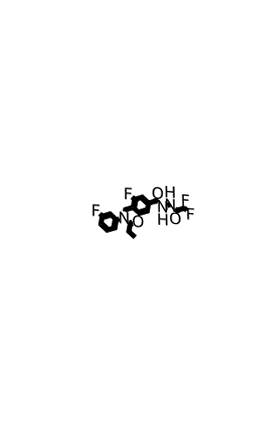 CCC(=O)N(Cc1ccc(C(=O)NNC(=O)C(F)F)cc1F)c1cccc(F)c1